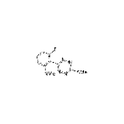 CNc1cccc(F)c1-c1nnc(SC)nn1